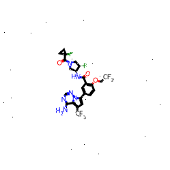 Nc1ncnn2c(-c3ccc(OCC(F)(F)F)c(C(=O)N[C@@H]4CN(C(=O)C5(F)CC5)C[C@@H]4F)c3)cc(C(F)(F)F)c12